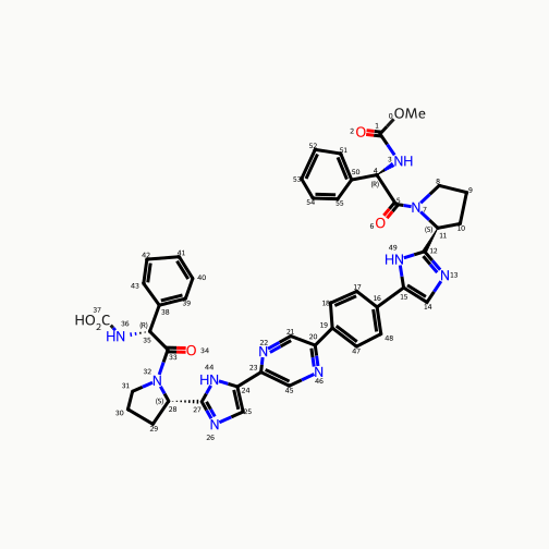 COC(=O)N[C@@H](C(=O)N1CCC[C@H]1c1ncc(-c2ccc(-c3cnc(-c4cnc([C@@H]5CCCN5C(=O)[C@H](NC(=O)O)c5ccccc5)[nH]4)cn3)cc2)[nH]1)c1ccccc1